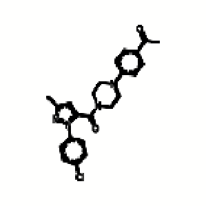 CC(=O)c1ccc(N2CCN(C(=O)c3cc(C)nn3-c3ccc(Cl)cc3)CC2)cc1